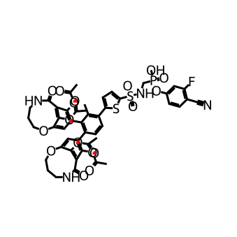 CC(=O)Oc1c2cc(-c3ccc(-c4ccc(S(=O)(=O)NCP(=O)(O)Oc5ccc(C#N)c(F)c5)s4)c(C)c3-c3cc4c(OC(C)=O)c(c3OC(C)=O)C(=O)NCCCO4)c(OC(C)=O)c1C(=O)NCCCO2